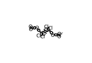 Cc1cc(CN(Cc2ccc(Oc3ccc([N+](=O)[O-])cc3)cc2)C(=O)C(Cl)Cl)c(C)cc1CN(Cc1ccc(Oc2ccc([N+](=O)[O-])cc2)cc1)C(=O)C(Cl)Cl